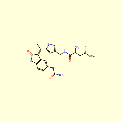 COC(=O)CC(N)C(=O)NCc1c[nH]c(/C(C)=C2/C(=O)Nc3ccc(NC(N)=O)cc32)c1